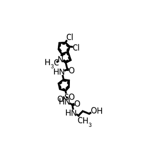 CC(CCO)NC(=O)NS(=O)(=O)c1ccc(NC(=O)c2cc3c(Cl)c(Cl)ccc3n2C)cc1